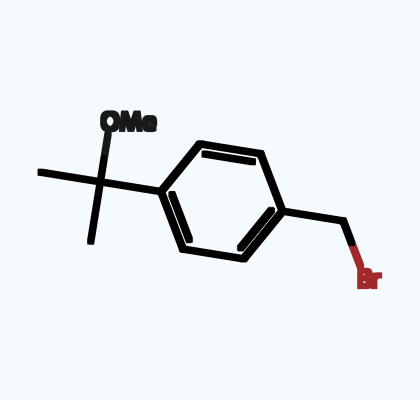 COC(C)(C)c1ccc(CBr)cc1